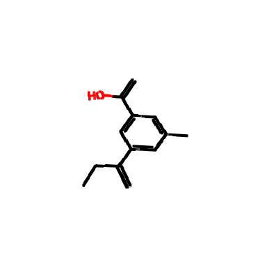 C=C(O)c1cc(C)cc(C(=C)CC)c1